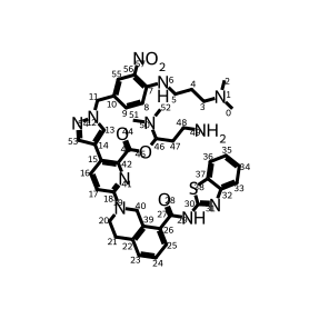 CN(C)CCCNc1ccc(Cn2cc(-c3ccc(N4CCc5cccc(C(=O)Nc6nc7ccccc7s6)c5C4)nc3C(=O)OC(CCN)N(C)C)cn2)cc1[N+](=O)[O-]